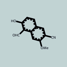 COc1cc2c(C=O)c(O)ccc2cc1C#N